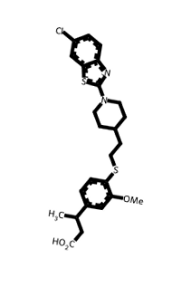 COc1cc(C(C)CC(=O)O)ccc1SCCC1CCN(c2nc3ccc(Cl)cc3s2)CC1